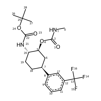 CNC(=O)O[C@H]1C[C@@H](c2cccc(C(F)(F)F)c2)CC[C@@H]1NC(=O)OC(C)(C)C